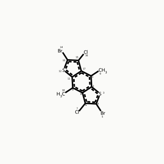 Cc1c2sc(Br)c(Cl)c2c(C)c2sc(Br)c(Cl)c12